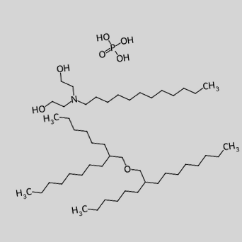 CCCCCCCCC(CCCCCC)COCC(CCCCCC)CCCCCCCC.CCCCCCCCCCCCN(CCO)CCO.O=P(O)(O)O